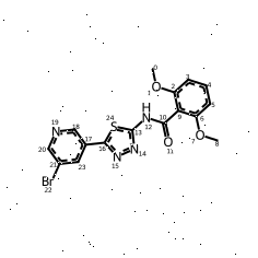 COc1cccc(OC)c1C(=O)Nc1nnc(-c2cncc(Br)c2)s1